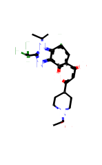 CC(=O)N1CCC(c2cc(=O)c3cc(F)c4c(nc(C(F)(F)F)n4C(C)C)c3o2)CC1